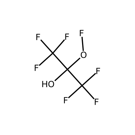 OC(OF)(C(F)(F)F)C(F)(F)F